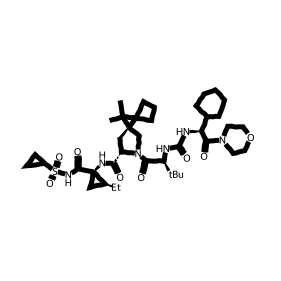 CC[C@@H]1C[C@]1(NC(=O)[C@@H]1C[C@@]2(CN1C(=O)[C@@H](NC(=O)N[C@H](C(=O)N1CCOCC1)C1CCCCC1)C(C)(C)C)C(C)(C)C21CCC1)C(=O)NS(=O)(=O)C1CC1